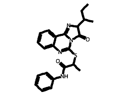 CCC(C)C1N=C2c3ccccc3N=C(SC(C)C(=O)Nc3ccccc3)N2C1=O